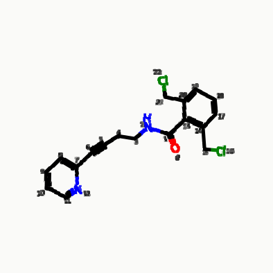 O=C(NCCC#Cc1ccccn1)c1c(CCl)cccc1CCl